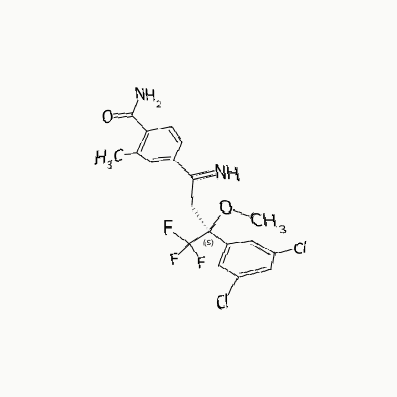 CO[C@@](CC(=N)c1ccc(C(N)=O)c(C)c1)(c1cc(Cl)cc(Cl)c1)C(F)(F)F